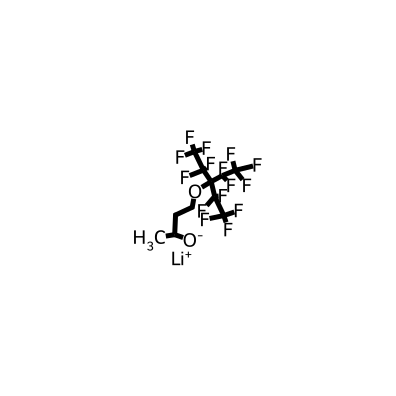 CC([O-])CCOC(C(F)(F)C(F)(F)F)(C(F)(F)C(F)(F)F)C(F)(F)C(F)(F)F.[Li+]